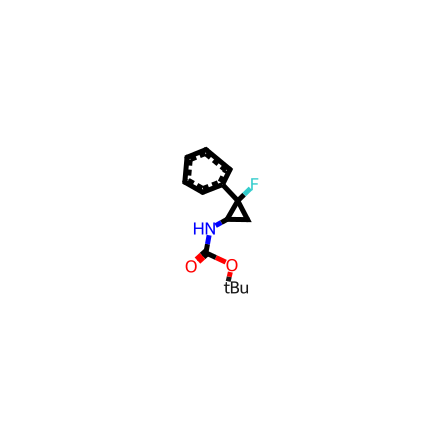 CC(C)(C)OC(=O)NC1CC1(F)c1ccccc1